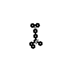 c1ccc(-c2nc(-c3ccc(-c4ccc(-n5c6ccccc6c6ccccc65)cc4)cc3)cc(-c3cccc4ccccc34)n2)cc1